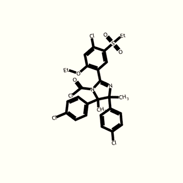 CCOc1cc(Cl)c(S(=O)(=O)CC)cc1C1=NC(C)(c2ccc(Cl)cc2)C(C)(c2ccc(Cl)cc2)N1C(=O)Cl